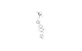 Cc1nn(C)cc1SNC(=O)c1ccc(-n2ccc(OCC3C[C@@H]4CC[C@H]3C4)n2)nc1Cl